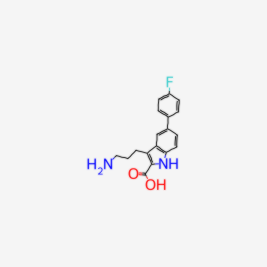 NCCCc1c(C(=O)O)[nH]c2ccc(-c3ccc(F)cc3)cc12